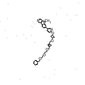 Cn1c2ccncc2c2ccc(-c3ccc(O[C@H]4C[C@H](OCC56CC(COCCOCCOCc7ccccc7)(C5)C6)C4)nc3)cc21